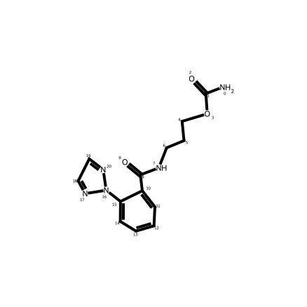 NC(=O)OCCCNC(=O)c1ccccc1-n1nccn1